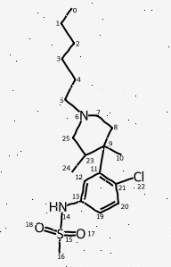 CCCCCCN1CCC(C)(c2cc(NS(C)(=O)=O)ccc2Cl)C(C)C1